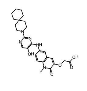 Cn1c(=O)c(OCC(=O)O)cc2cc(Nc3nc(N4CCC5(CCCCC5)CC4)ncc3O)ccc21